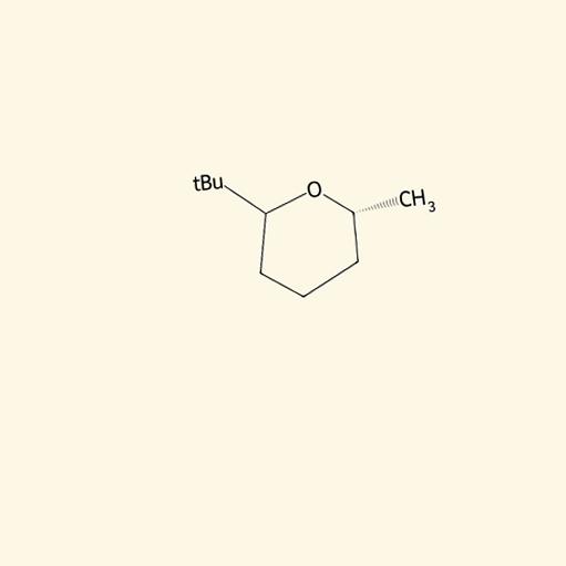 C[C@@H]1CCCC(C(C)(C)C)O1